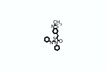 Cc1nc2ccc(/C=C3\S/C(=N\c4ccccc4)N(c4ccccc4)C3=O)cc2s1